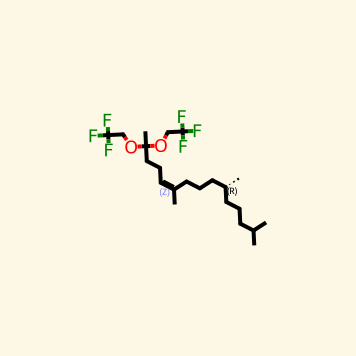 C/C(=C/CCC(C)(OCC(F)(F)F)OCC(F)(F)F)CCC[C@H](C)CCCC(C)C